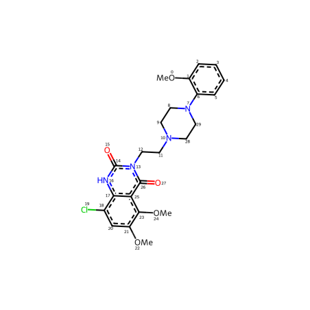 COc1ccccc1N1CCN(CCn2c(=O)[nH]c3c(Cl)cc(OC)c(OC)c3c2=O)CC1